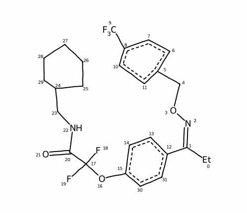 CCC(=NOCc1ccc(C(F)(F)F)cc1)c1ccc(OC(F)(F)C(=O)NCC2CCCCC2)cc1